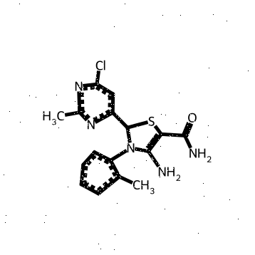 Cc1nc(Cl)cc(C2SC(C(N)=O)=C(N)N2c2ccccc2C)n1